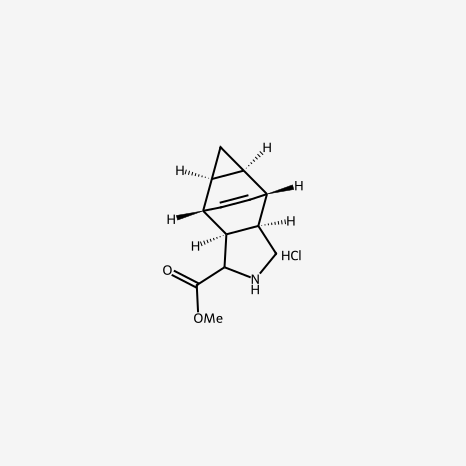 COC(=O)C1NC[C@@H]2[C@@H]3C=C[C@@H]([C@H]4C[C@@H]34)[C@H]12.Cl